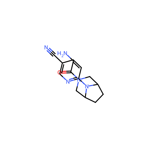 N#Cc1ccc(N2C3CCC2CN(C(=O)CN)C3)nc1